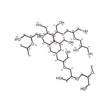 COC(CO)COC(CO)COC(CO)CN(CC(CO)OCC(CO)OCC(CO)OCC(O)CO)CC(CO)OCC(CO)OCC(CO)OC(C)C